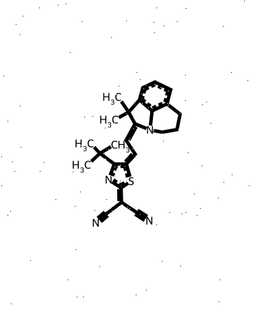 CC(C)(C)c1nc(=C(C#N)C#N)s/c1=C/C=C1\N2CCCc3cccc(c32)C1(C)C